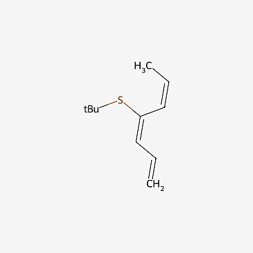 C=C/C=C(\C=C/C)SC(C)(C)C